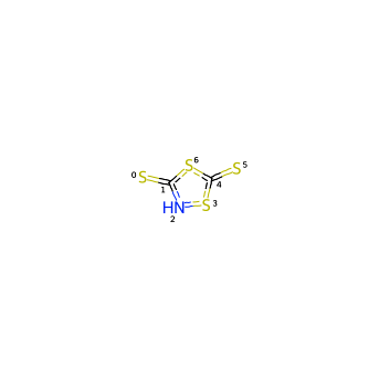 S=c1[nH]sc(=S)s1